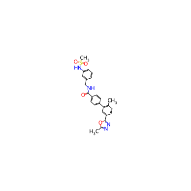 Cc1nnc(-c2ccc(C)c(-c3ccc(C(=O)NCc4cccc(NS(C)(=O)=O)c4)cc3)c2)o1